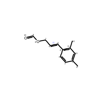 Cc1ccc(/C=C/CO[C]=O)c(C)c1